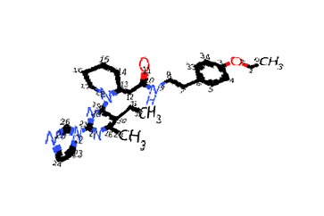 CCOc1ccc(CCNC(=O)CC2CCCCN2c2nc(-n3ccnc3)nc(C)c2CC)cc1